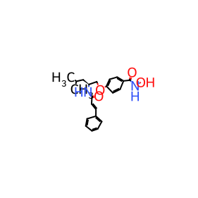 CC(C)C[C@@H](COc1ccc(C(=O)NO)cc1)NC(=O)/C=C/c1ccccc1